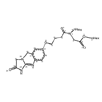 CCCCCCOC(=O)CN(CCCCCC)C(=O)CCCOc1ccc2c(c1)CN1CC(=O)NC1=N2